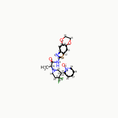 C[C@@H](C(=O)Nc1nc2cc3c(cc2s1)OCCO3)N1CCC(F)(F)[C@H](c2cccc[n+]2[O-])C1